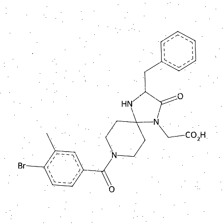 Cc1cc(C(=O)N2CCC3(CC2)NC(Cc2ccccc2)C(=O)N3CC(=O)O)ccc1Br